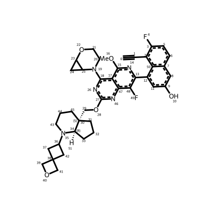 C#Cc1c(F)ccc2cc(O)cc(-c3nc(OC)c4c(N5CCOC6CC65)nc(OC[C@]56CCC[C@H]5N(C5CC7(COC7)C5)CCC6)nc4c3F)c12